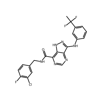 CC(F)(F)c1cccc(Nc2n[nH]c3c(C(=O)NCc4ccc(F)c(Cl)c4)ncnc23)c1